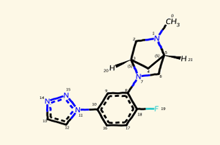 CN1C[C@@H]2C[C@H]1CN2c1cc(-n2ccnn2)ccc1F